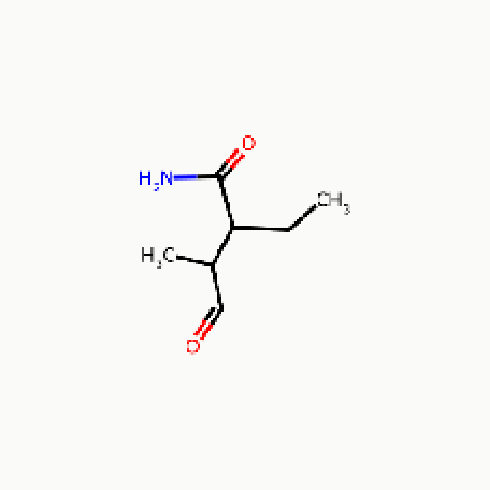 CCC(C(N)=O)C(C)C=O